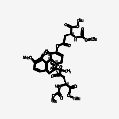 CCCCOC(=O)[C@H](CC(=O)OC1=CC[C@@]2(OC(=O)C[C@H](NC(=O)OC(C)(C)C)C(=O)OCCCC)[C@H]3Cc4ccc(OC)c5c4[C@@]2(CCN3C)[C@H]1O5)NC(=O)OC(C)(C)C